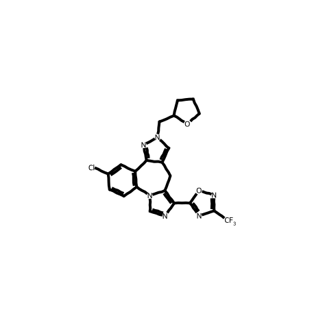 FC(F)(F)c1noc(-c2ncn3c2Cc2cn(CC4CCCO4)nc2-c2cc(Cl)ccc2-3)n1